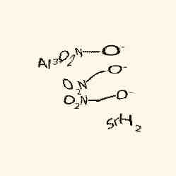 O=[N+]([O-])[O-].O=[N+]([O-])[O-].O=[N+]([O-])[O-].[Al+3].[SrH2]